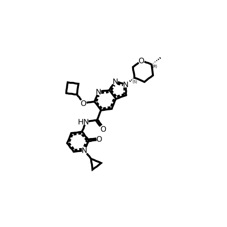 C[C@@H]1CC[C@H](n2cc3cc(C(=O)Nc4cccn(C5CC5)c4=O)c(OC4CCC4)nc3n2)CO1